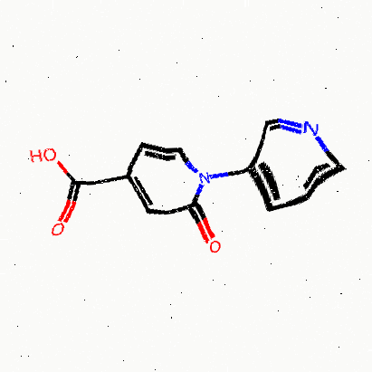 O=C(O)c1ccn(-c2cccnc2)c(=O)c1